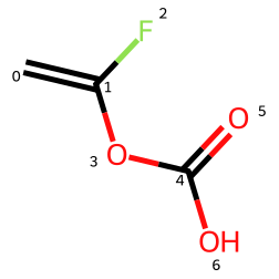 C=C(F)OC(=O)O